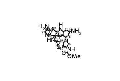 COC(=O)N[C@H]1CN(c2cc(N)cc(Nc3nc(NC4CC4)c4ncc(N)n4n3)c2Cl)C[C@H]1CF